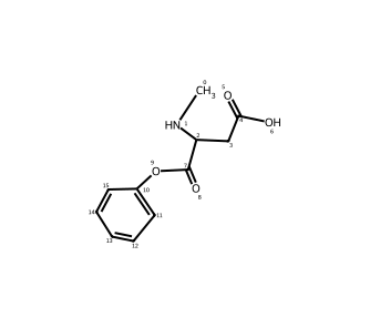 CNC(CC(=O)O)C(=O)Oc1ccccc1